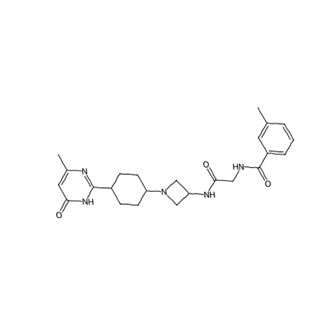 Cc1cccc(C(=O)NCC(=O)NC2CN(C3CCC(c4nc(C)cc(=O)[nH]4)CC3)C2)c1